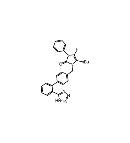 CCCCc1c(F)n(-c2ccccc2)c(=O)n1Cc1ccc(-c2ccccc2-c2nnn[nH]2)cc1